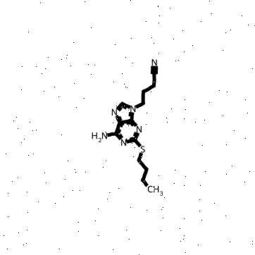 CCCCSc1nc(N)c2ncn(CCCC#N)c2n1